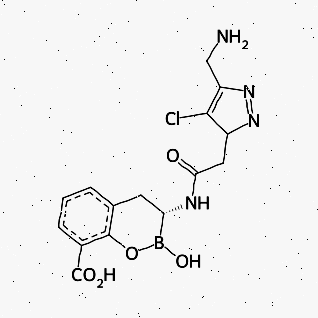 NCC1=C(Cl)C(CC(=O)N[C@H]2Cc3cccc(C(=O)O)c3OB2O)N=N1